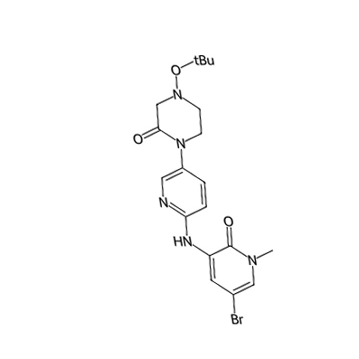 Cn1cc(Br)cc(Nc2ccc(N3CCN(OC(C)(C)C)CC3=O)cn2)c1=O